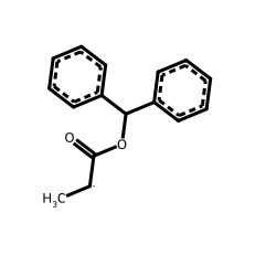 C[CH]C(=O)OC(c1ccccc1)c1ccccc1